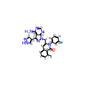 Cc1cccc2cc(Cn3nc(-c4cn[nH]c4)c4c(N)ncnc43)n(-c3cccc(F)c3)c(=O)c12